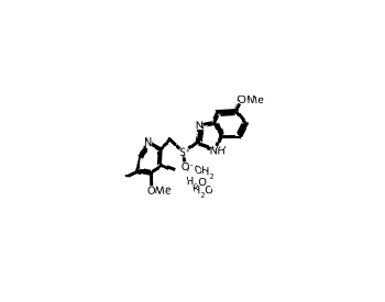 COc1ccc2[nH]c([S+]([O-])Cc3ncc(C)c(OC)c3C)nc2c1.O.O.O